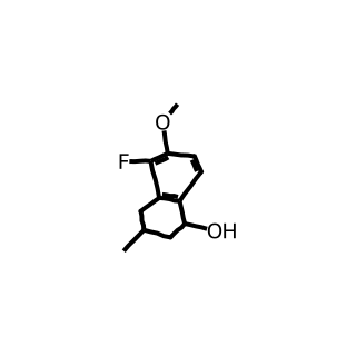 COc1ccc2c(c1F)CC(C)CC2O